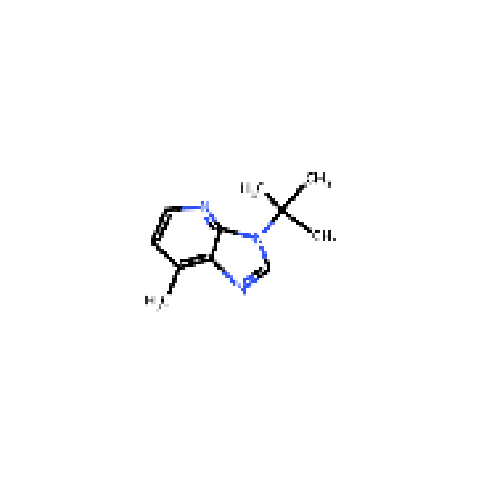 Cc1ccnc2c1ncn2C(C)(C)C